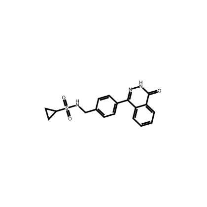 O=c1[nH]nc(-c2ccc(CNS(=O)(=O)C3CC3)cc2)c2ccccc12